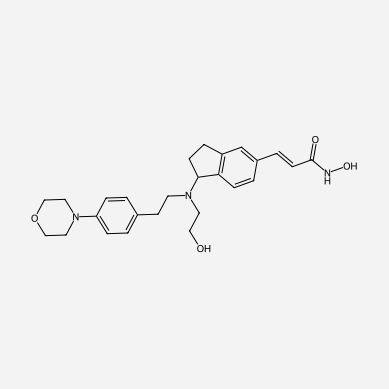 O=C(C=Cc1ccc2c(c1)CCC2N(CCO)CCc1ccc(N2CCOCC2)cc1)NO